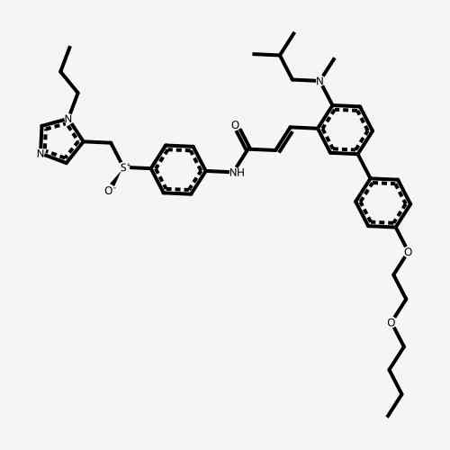 CCCCOCCOc1ccc(-c2ccc(N(C)CC(C)C)c(C=CC(=O)Nc3ccc([S@@+]([O-])Cc4cncn4CCC)cc3)c2)cc1